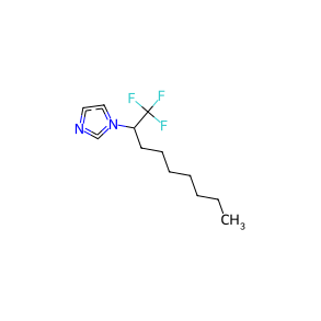 CCCCCCCC(n1ccnc1)C(F)(F)F